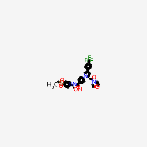 CCS(=O)(=O)c1ccc([C@H](CO)NC(=O)c2ccc(N3CC(c4ccc(C(F)(F)F)cc4)C[C@H]3CC(=O)N3CCOCC3)cc2)cc1